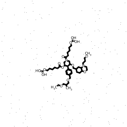 CCOCC(C)COCc1ccc(C2C(OCC3CCC4OCCN(CCCOC)C4C3)CN(C(=O)CCCCCON(O)O)CC2OC(=O)CCCCCON(O)O)cc1